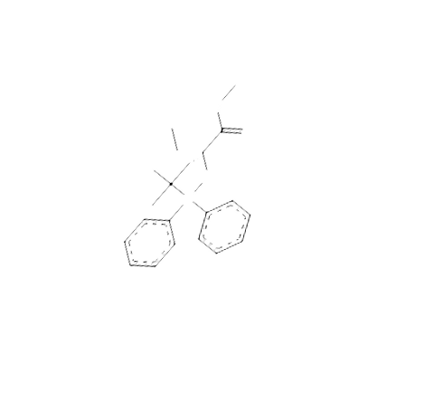 CC[C@@H](O[Si](c1ccccc1)(c1ccccc1)C(C)(C)C)C(=O)OC